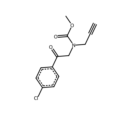 C#CCN(CC(=O)c1ccc(Cl)cc1)C(=O)OC